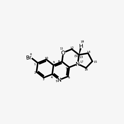 Brc1ccc2ncc3c(c2c1)OC[C@@H]1CCCN31